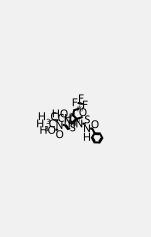 CC(C)(C)N(C(=O)O)c1csc([C@]2(NC(=S)NC(=O)c3ccccc3)CO[C@@H](C(F)(F)F)C[C@H]2CO)n1